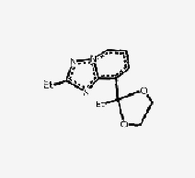 CCc1nc2c(C3(CC)OCCO3)cccn2n1